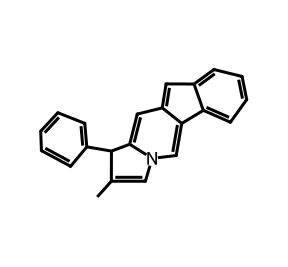 CC1=Cn2cc3c4ccccc4cc-3cc2C1c1ccccc1